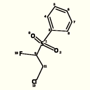 O=S(=O)(c1ccccc1)C(F)CCl